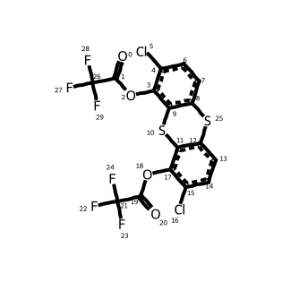 O=C(Oc1c(Cl)ccc2c1Sc1c(ccc(Cl)c1OC(=O)C(F)(F)F)S2)C(F)(F)F